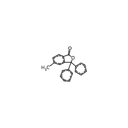 Cc1ccc2c(c1)C(c1ccccc1)(c1ccccc1)OC2=O